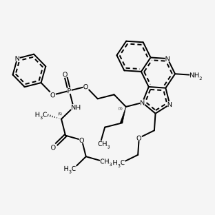 CCC[C@@H](CCOP(=O)(N[C@@H](C)C(=O)OC(C)C)Oc1ccncc1)n1c(COCC)nc2c(N)nc3ccccc3c21